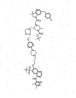 Cc1n[nH]c(Nc2ncnc3cc(OCCCN4CCN(c5ncc(OC[C@H]6CN(C[C@H]7CN(C(=O)OC(C)(C)C)C(C)CN7CC(=O)N7CC(C)(C)c8ncc(Cc9ccc(F)cc9)cc87)CCO6)cn5)CC4)c(S(=O)(=O)C(C)(C)C)cc23)c1C